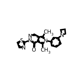 Cc1c2cnn(-c3nccs3)c(=O)c2c(C)n1-c1cccc(N2CCC2)c1